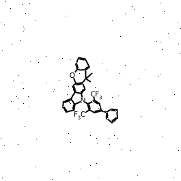 CC1(C)c2ccccc2Oc2cc3c4ccccc4n(-c4c(C(F)(F)F)cc(-c5ccccc5)cc4C(F)(F)F)c3cc21